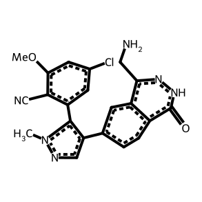 COc1cc(Cl)cc(-c2c(-c3ccc4c(=O)[nH]nc(CN)c4c3)cnn2C)c1C#N